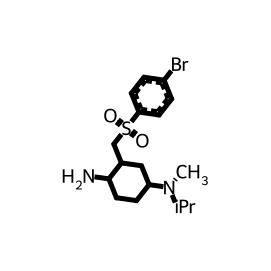 CC(C)N(C)C1CCC(N)C(CS(=O)(=O)c2ccc(Br)cc2)C1